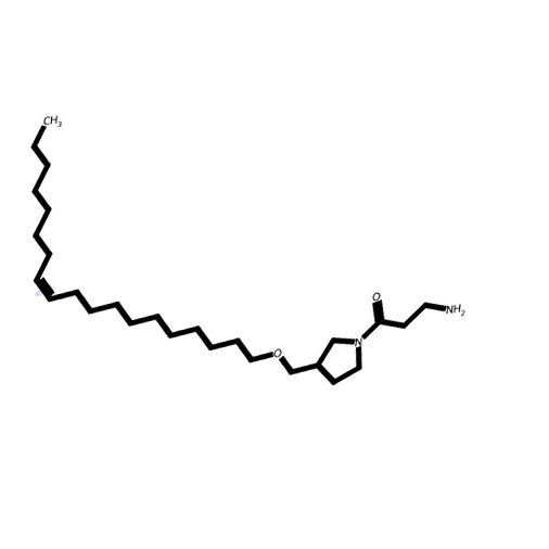 CCCCCCC/C=C\CCCCCCCCCCOCC1CCN(C(=O)CCN)C1